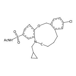 CC(=O)NS(=O)(=O)c1ccc2c(c1)N(CC1CC1)CCCCc1cc(Cl)ccc1CO2